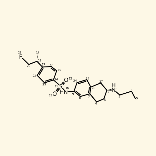 CCCN[C@H]1CCc2cc(NS(=O)(=O)c3ccc([C@@H](C)CF)cc3)ccc2C1